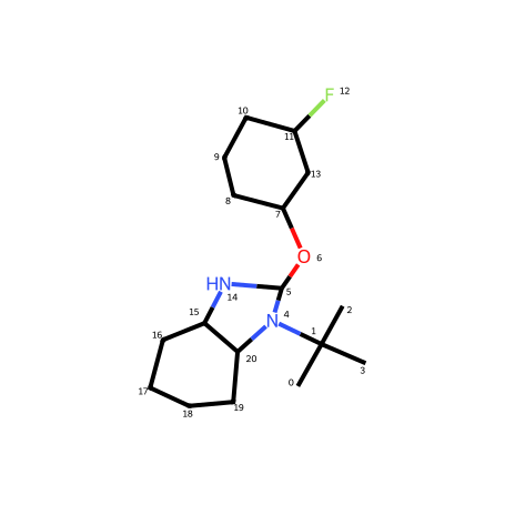 CC(C)(C)N1C(OC2CCCC(F)C2)NC2CCCCC21